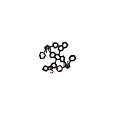 C1=CCC(c2ccc(-c3ccccc3)n2-c2ccc3c(-c4ccc5sc6ccccc6c5c4)c4cc(-n5c(-c6ccccc6)ccc5C5C=CC=CC5)ccc4c(-c4ccc5ccccc5c4)c3c2)C=C1